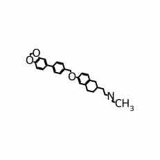 C/C=N/CCC1CCc2cc(OCc3ccc(-c4ccc5c(c4)OCO5)cc3)ccc2C1